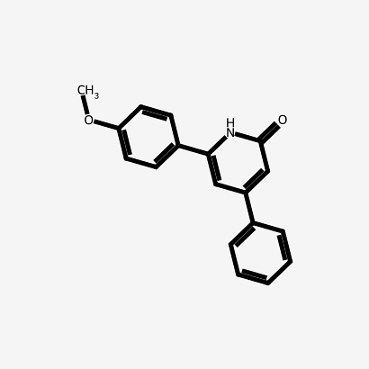 COc1ccc(-c2cc(-c3ccccc3)cc(=O)[nH]2)cc1